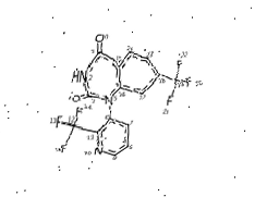 O=c1[nH]c(=O)n(-c2cccnc2C(F)(F)F)c2cc(C(F)(F)F)ccc12